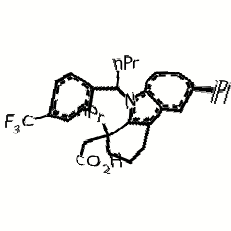 CCCC(c1ccc(C(F)(F)F)cc1)n1c2c(c3cc(C(C)C)ccc31)CCCC2(CCC)CC(=O)O